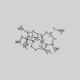 C[C@H]1CC[C@@H]2[C@](C)(CCC(O)[C@@]2(C)CO)[C@@]12CC[C@H](CO)CC(O)O2